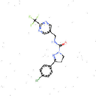 O=C(NCc1cnc(C(F)(F)F)nc1)N1CCC(c2ccc(Cl)cc2)=N1